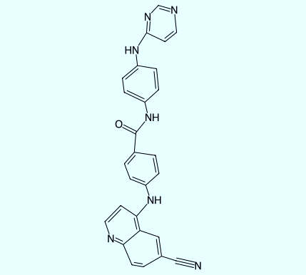 N#Cc1ccc2nccc(Nc3ccc(C(=O)Nc4ccc(Nc5ccncn5)cc4)cc3)c2c1